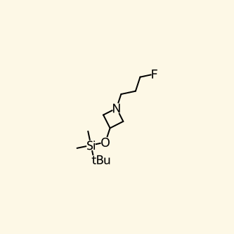 CC(C)(C)[Si](C)(C)OC1CN(CCCF)C1